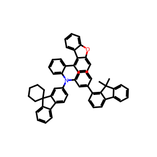 CC1(C)c2ccccc2-c2cccc(-c3cccc(N(c4ccc5c(c4)C4(CCCCC4)c4ccccc4-5)c4ccccc4-c4cccc5oc6ccccc6c45)c3)c21